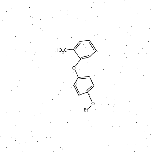 CCOc1ccc(Oc2ccccc2C(=O)O)cc1